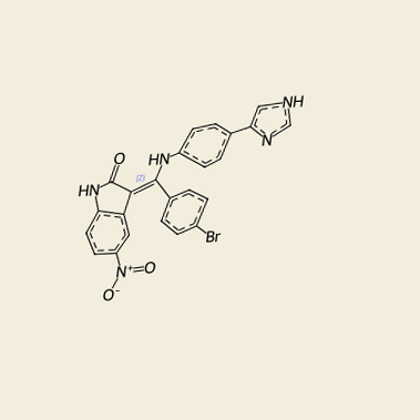 O=C1Nc2ccc([N+](=O)[O-])cc2/C1=C(/Nc1ccc(-c2c[nH]cn2)cc1)c1ccc(Br)cc1